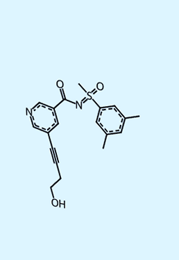 Cc1cc(C)cc(S(C)(=O)=NC(=O)c2cncc(C#CCCO)c2)c1